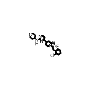 Fc1cccc(Cl)c1Cc1nnc2cc(-c3ccnc(NC4CCOCC4)n3)ccn12